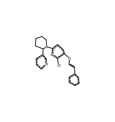 Clc1nc(N2CCCCC2c2cccnc2)ccc1OC=Cc1ccccc1